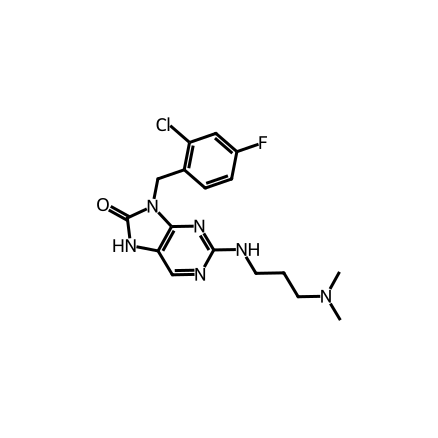 CN(C)CCCNc1ncc2[nH]c(=O)n(Cc3ccc(F)cc3Cl)c2n1